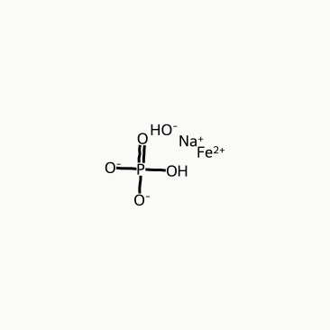 O=P([O-])([O-])O.[Fe+2].[Na+].[OH-]